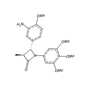 COc1ccc([C@H]2[C@H](C)C(=O)N2c2cc(OC)c(OC)c(OC)c2)cc1N